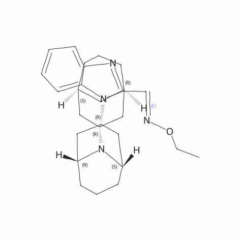 CCO/N=C/c1nc2ccccc2n1[C@H]1C[C@H]2CCC[C@@H](C1)N2[C@H]1C[C@@H]2CCC[C@@H](C2)C1